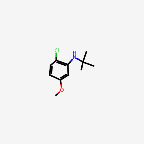 COc1ccc(Cl)c(NC(C)(C)C)c1